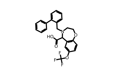 O=C(O)C1c2cc(OC(F)(F)F)ccc2OCCN1Cc1ccccc1-c1ccccc1